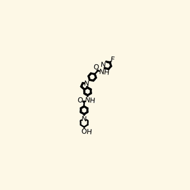 O=C(Nc1ccc2c(ccn2-c2ccc(C(=O)Nc3ccc(F)cn3)cc2)c1)c1ccc(N2CCC(O)CC2)cc1